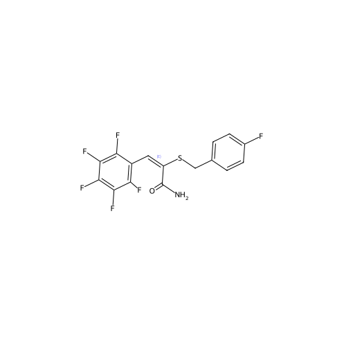 NC(=O)/C(=C\c1c(F)c(F)c(F)c(F)c1F)SCc1ccc(F)cc1